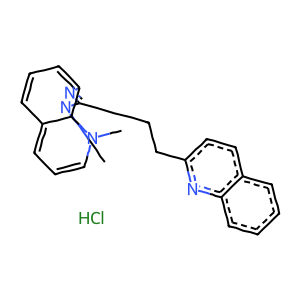 CN1C=CC=C2C=CC=C3N=C(CCc4ccc5ccccc5n4)N(C)C231.Cl